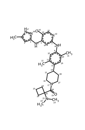 Cc1cc(Nc2nc(Nc3cc(C)c(C4CCN(C(=O)C5(N(C)C)CCC5)CC4)cc3C)ncc2Cl)n[nH]1